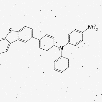 Nc1ccc(N(C2=CC=CCC2)C2C=CC(c3ccc4sc5ccccc5c4c3)=CC2)cc1